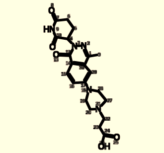 Cc1nn(C2CCC(=O)NC2=O)c(=O)c2ccc(N3CCN(CCC(=O)O)CC3)cc12